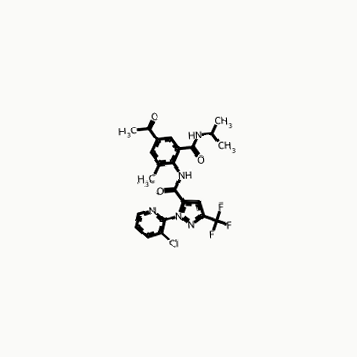 CC(=O)c1cc(C)c(NC(=O)c2cc(C(F)(F)F)nn2-c2ncccc2Cl)c(C(=O)NC(C)C)c1